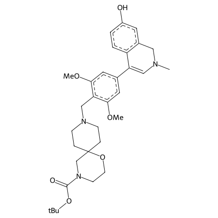 COc1cc(C2=CN(C)Cc3cc(O)ccc32)cc(OC)c1CN1CCC2(CC1)CN(C(=O)OC(C)(C)C)CCO2